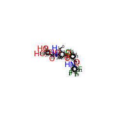 CCC1C[C@@H](S(=O)(=O)c2cc(C(=O)Nc3cc(F)c(F)c(F)c3)ccc2Cl)C[C@H](C)[C@@]1(O)CNC(=O)C1CC(O)C(O)C1